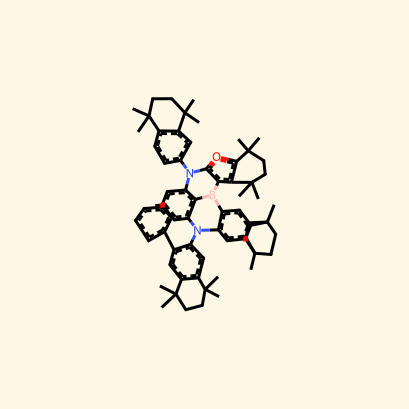 Cc1cc2c3c(c1)N(c1ccc4c(c1)C(C)(C)CCC4(C)C)c1oc4c(c1B3c1cc3c(cc1N2c1cc2c(cc1-c1ccccc1)C(C)(C)CCC2(C)C)C1(C)CCC3(C)CC1)C(C)(C)CCC4(C)C